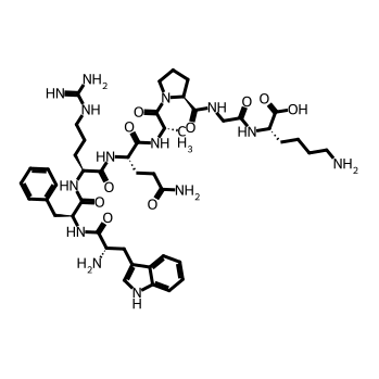 C[C@H](NC(=O)[C@H](CCC(N)=O)NC(=O)[C@H](CCCNC(=N)N)NC(=O)[C@H](Cc1ccccc1)NC(=O)[C@@H](N)Cc1c[nH]c2ccccc12)C(=O)N1CCC[C@H]1C(=O)NCC(=O)N[C@@H](CCCCN)C(=O)O